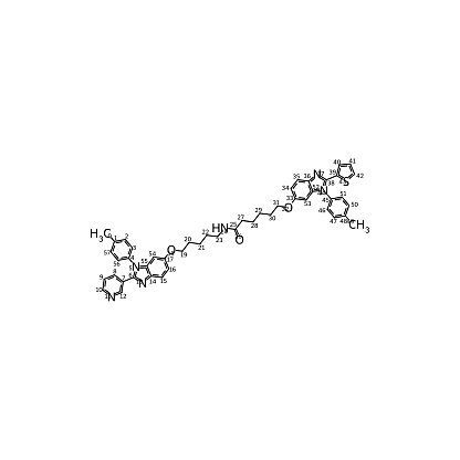 Cc1ccc(-n2c(-c3cccnc3)nc3ccc(OCCCCCNC(=O)CCCCCOc4ccc5nc(-c6cccs6)n(-c6ccc(C)cc6)c5c4)cc32)cc1